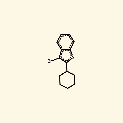 Brc1c(C2CCCCC2)sc2ccccc12